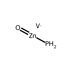 [O]=[Zn][PH2].[V]